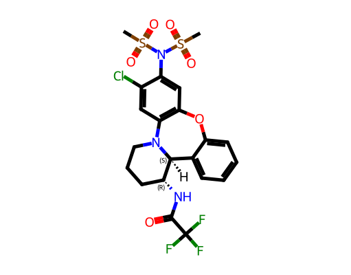 CS(=O)(=O)N(c1cc2c(cc1Cl)N1CCC[C@@H](NC(=O)C(F)(F)F)[C@@H]1c1ccccc1O2)S(C)(=O)=O